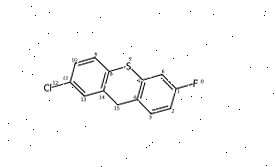 Fc1ccc2c(c1)Sc1ccc(Cl)cc1C2